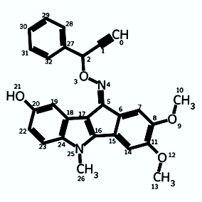 C#CC(O/N=C1/c2cc(OC)c(OC)cc2-c2c1c1cc(O)ccc1n2C)c1ccccc1